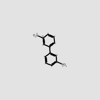 O=[N+]([O-])c1cc[c]c(-c2cccc([N+](=O)[O-])c2)c1